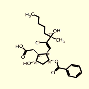 CCCCC[C@](C)(O)C(Cl)=C[C@@H]1[C@@H](CC(=O)O)[C@@H](O)C[C@H]1OC(=O)c1ccccc1